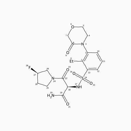 CCc1c(N2CCOCC2=O)cccc1S(=O)(=O)N[C@@H](C(N)=O)C(=O)N1CC[C@@H](F)C1